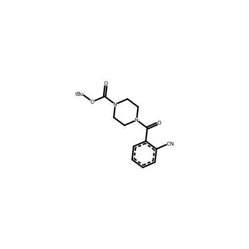 CC(C)(C)OC(=O)N1CCN(C(=O)c2ccccc2C#N)CC1